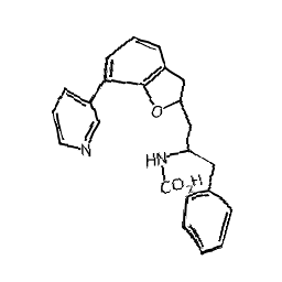 O=C(O)NC(Cc1ccccc1)CC1Cc2cccc(-c3cccnc3)c2O1